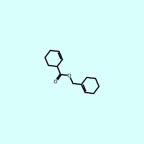 O=C(OCC1=CCCCC1)C1C=CCCC1